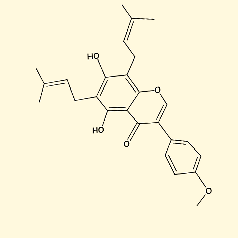 COc1ccc(-c2coc3c(CC=C(C)C)c(O)c(CC=C(C)C)c(O)c3c2=O)cc1